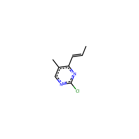 CC=Cc1nc(Cl)ncc1C